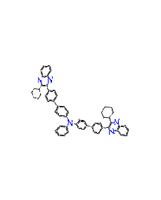 c1ccc(N(c2ccc(-c3ccc(-c4nc5ccccc5nc4C4CCCCC4)cc3)cc2)c2ccc(-c3ccc(-c4nc5ccccc5nc4C4CCCCC4)cc3)cc2)cc1